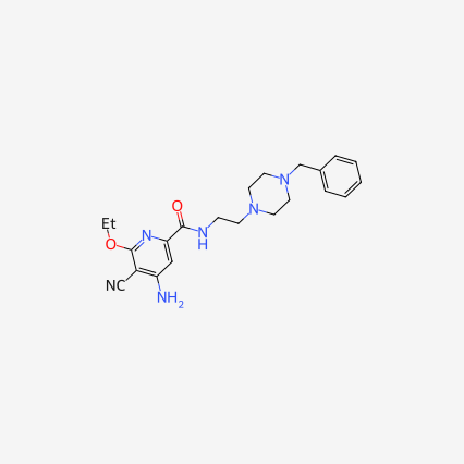 CCOc1nc(C(=O)NCCN2CCN(Cc3ccccc3)CC2)cc(N)c1C#N